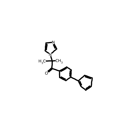 CC(C)(C(=O)c1ccc(-c2ccccc2)cc1)n1ccnc1